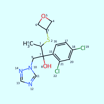 CC(SC1COC1)C(O)(Cn1cncn1)c1ccc(Cl)cc1Cl